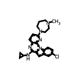 CN1CCCN(c2ccc3nc(NC4CC4)c4cc5cc(Cl)ccc5n4c3n2)CC1